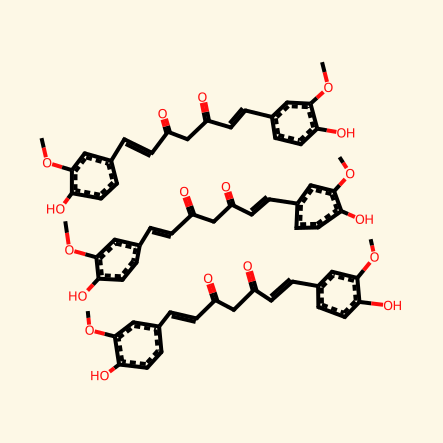 COc1cc(/C=C/C(=O)CC(=O)/C=C/c2ccc(O)c(OC)c2)ccc1O.COc1cc(/C=C/C(=O)CC(=O)/C=C/c2ccc(O)c(OC)c2)ccc1O.COc1cc(/C=C/C(=O)CC(=O)/C=C/c2ccc(O)c(OC)c2)ccc1O